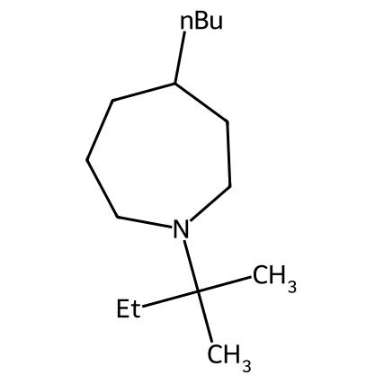 CCCCC1CCCN(C(C)(C)CC)CC1